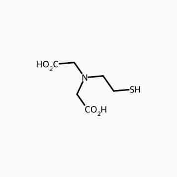 O=C(O)CN(CCS)CC(=O)O